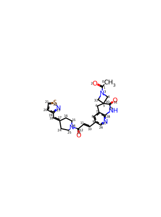 CC(=O)N1CC2(Cc3cc(C=CC(=O)N4CCC(=Cc5ccsn5)CC4)cnc3NC2=O)C1